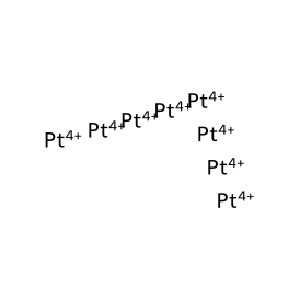 [Pt+4].[Pt+4].[Pt+4].[Pt+4].[Pt+4].[Pt+4].[Pt+4].[Pt+4]